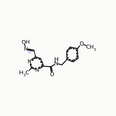 COc1ccc(CNC(=O)c2cc(/C=N/O)nc(C)n2)cc1